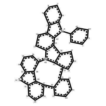 c1ccc(-n2c3ccccc3c3ccc4c(c5cccc6c7ccccc7c7cccc8sc9cccc(c9c87)n4c65)c32)cc1